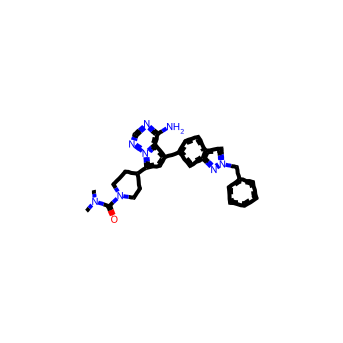 CN(C)C(=O)N1CCC(c2cc(-c3ccc4cn(Cc5ccccc5)nc4c3)c3c(N)ncnn23)CC1